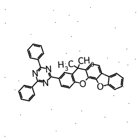 CC1(C)c2cc(-c3nc(-c4ccccc4)nc(-c4ccccc4)n3)ccc2Oc2c1ccc1c2oc2ccccc21